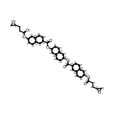 O=C(CCC1CO1)Oc1ccc2cc(C(=O)Oc3ccc4cc(OC(=O)c5ccc6cc(OC(=O)CCC7CO7)ccc6c5)ccc4c3)ccc2c1